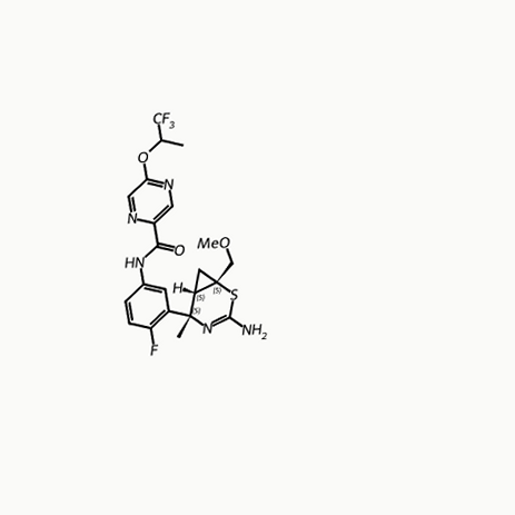 COC[C@]12C[C@H]1[C@@](C)(c1cc(NC(=O)c3cnc(OC(C)C(F)(F)F)cn3)ccc1F)N=C(N)S2